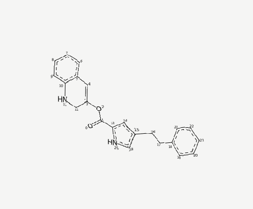 O=C(OC1=Cc2ccccc2NC1)c1cc(CCc2ccccc2)c[nH]1